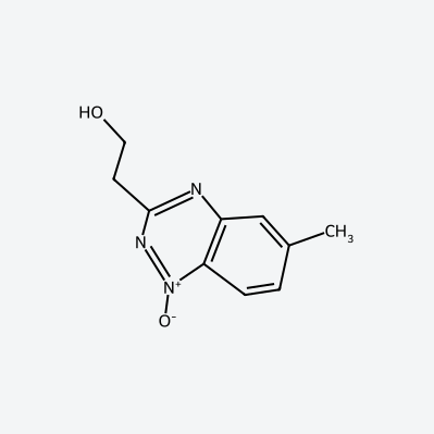 Cc1ccc2c(c1)nc(CCO)n[n+]2[O-]